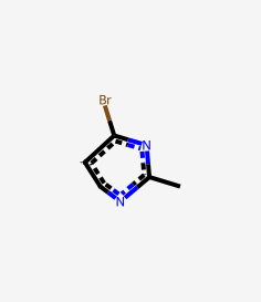 Cc1nc[c]c(Br)n1